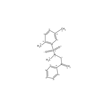 C=C(CN(C)S(=O)(=O)c1cc(C)ccc1C)c1ccccc1